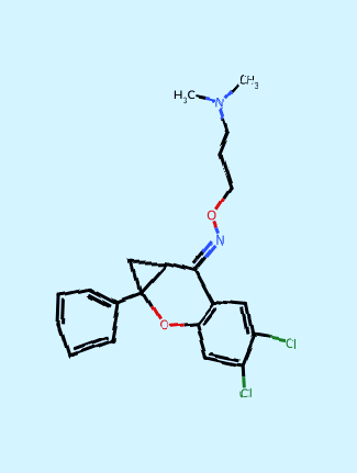 CN(C)CCCON=C1c2cc(Cl)c(Cl)cc2OC2(c3ccccc3)CC12